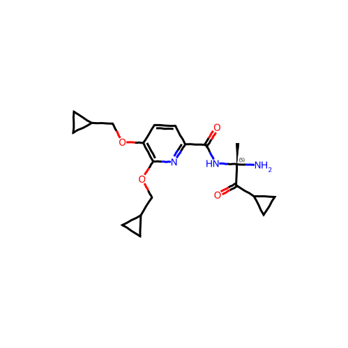 C[C@](N)(NC(=O)c1ccc(OCC2CC2)c(OCC2CC2)n1)C(=O)C1CC1